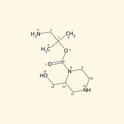 CC(C)(CN)OC(=O)N1CCNCC1CO